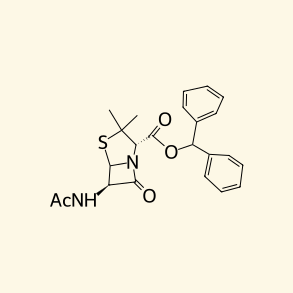 CC(=O)N[C@@H]1C(=O)N2C1SC(C)(C)[C@@H]2C(=O)OC(c1ccccc1)c1ccccc1